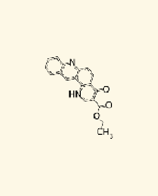 CCOC(=O)c1c[nH]c2c(ccc3nc4ccccc4cc32)c1=O